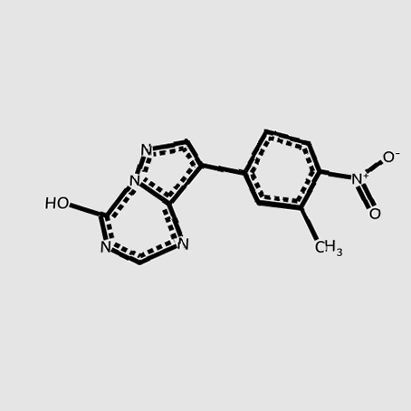 Cc1cc(-c2cnn3c(O)ncnc23)ccc1[N+](=O)[O-]